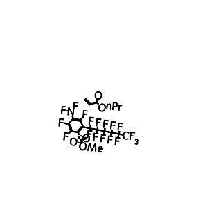 C=CC(=O)OCCC.COS(=O)(=O)c1c(F)c(F)c(N(F)F)c(F)c1C(F)(F)C(F)(F)C(F)(F)C(F)(F)C(F)(F)C(F)(F)F